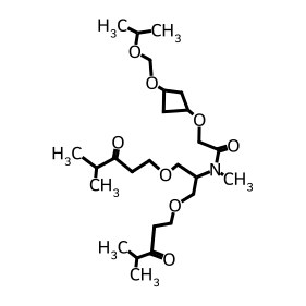 CC(C)OCOC1CC(OCC(=O)N(C)C(COCCC(=O)C(C)C)COCCC(=O)C(C)C)C1